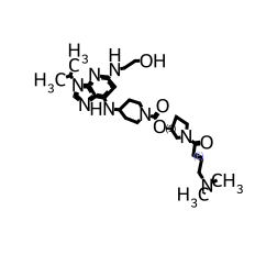 CC(C)n1cnc2c(NC3CCN(C(=O)O[C@H]4CCN(C(=O)/C=C/CN(C)C)C4)CC3)cc(NCCO)nc21